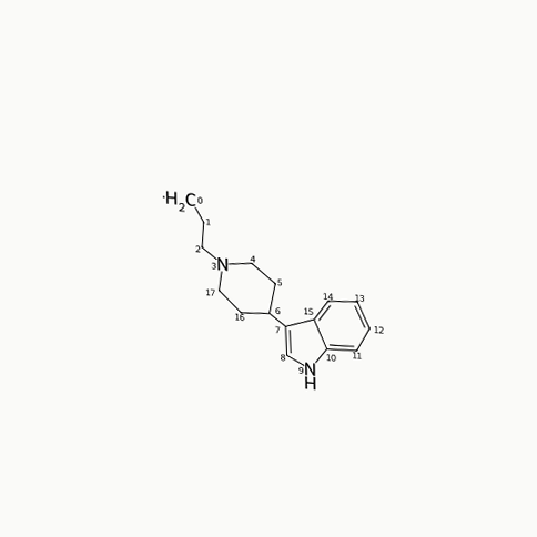 [CH2]CCN1CCC(c2c[nH]c3ccccc23)CC1